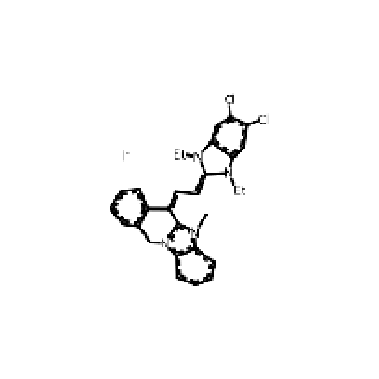 CCN1C(=CC=C2c3ccccc3C[n+]3c2n(C)c2ccccc23)N(CC)c2cc(Cl)c(Cl)cc21.[I-]